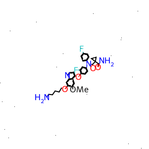 COc1cc2c(Oc3ccc(N(C(=O)C4(C(N)=O)CC4)c4ccc(F)cc4)cc3F)ccnc2cc1OCCCCCN